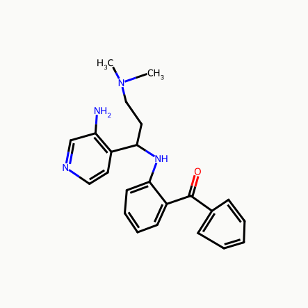 CN(C)CCC(Nc1ccccc1C(=O)c1ccccc1)c1ccncc1N